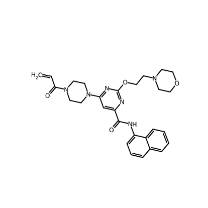 C=CC(=O)N1CCN(c2cc(C(=O)Nc3cccc4ccccc34)nc(OCCN3CCOCC3)n2)CC1